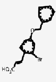 O=C(O)C=Cc1ccc(OCc2ccccc2)cc1Br